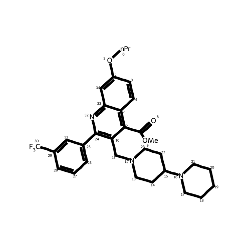 CCCOc1ccc2c(C(=O)OC)c(CN3CCC(N4CCCCC4)CC3)c(-c3cccc(C(F)(F)F)c3)nc2c1